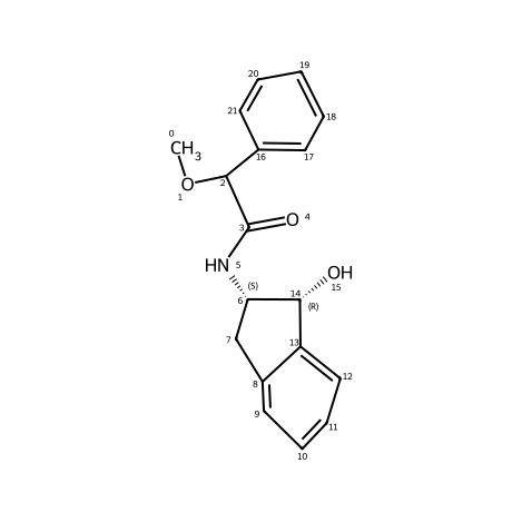 COC(C(=O)N[C@H]1Cc2ccccc2[C@H]1O)c1ccccc1